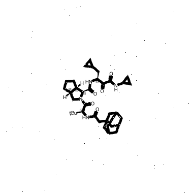 CC(C)(C)[C@H](NC(=O)CC12CC3CC(CC(C3)C1)C2)C(=O)N1C[C@@H]2CCC[C@@H]2[C@H]1C(=O)N[C@@H](CC1CC1)C(=O)C(=O)NC1CC1